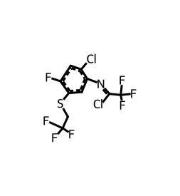 Fc1cc(Cl)c(N=C(Cl)C(F)(F)F)cc1SCC(F)(F)F